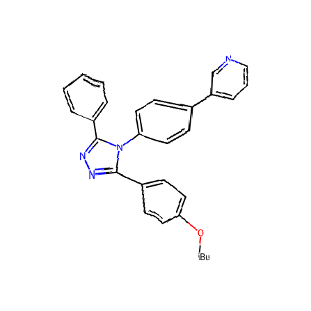 CCC(C)Oc1ccc(-c2nnc(-c3ccccc3)n2-c2ccc(-c3cccnc3)cc2)cc1